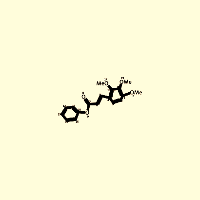 COc1ccc(/C=C/C(=O)Oc2ccccc2)c(OC)c1OC